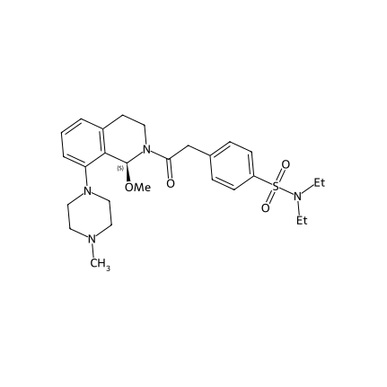 CCN(CC)S(=O)(=O)c1ccc(CC(=O)N2CCc3cccc(N4CCN(C)CC4)c3[C@@H]2OC)cc1